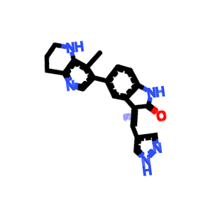 Cc1c(-c2ccc3c(c2)/C(=C/c2cn[nH]c2)C(=O)N3)cnc2c1NCCC2